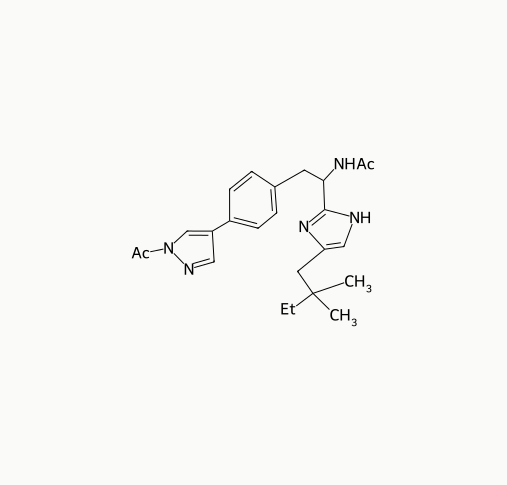 CCC(C)(C)Cc1c[nH]c(C(Cc2ccc(-c3cnn(C(C)=O)c3)cc2)NC(C)=O)n1